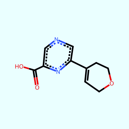 O=C(O)c1cncc(C2=CCOCC2)n1